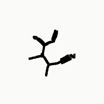 C=CC(=O)N(C)C(C)C#N